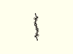 C=CCCC1CCC1C(=O)OCCOc1ccc(C(C)(C)c2ccc(OCCOC(=O)C3CCC3CCC=C)cc2)cc1